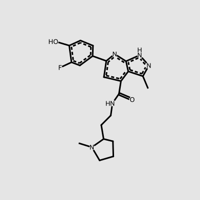 Cc1n[nH]c2nc(-c3ccc(O)c(F)c3)cc(C(=O)NCCC3CCCN3C)c12